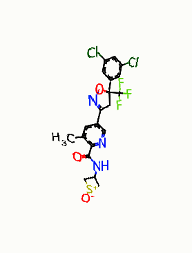 Cc1cc(C2=NOC(c3cc(Cl)cc(Cl)c3)(C(F)(F)F)C2)cnc1C(=O)NC1C[S+]([O-])C1